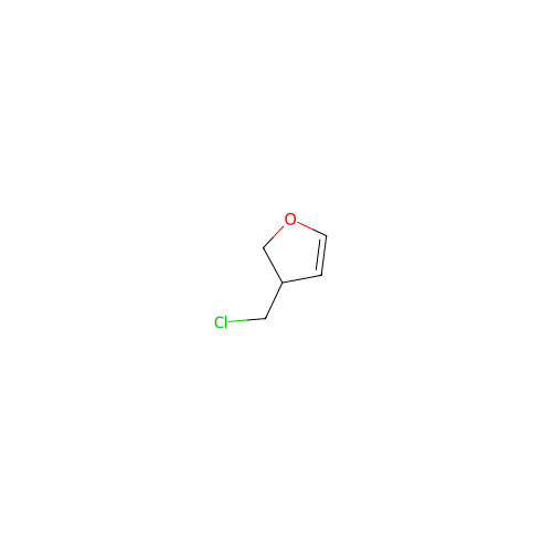 ClCC1C=COC1